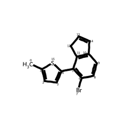 Cc1ccc(-c2c(Br)ccc3c2CC=C3)s1